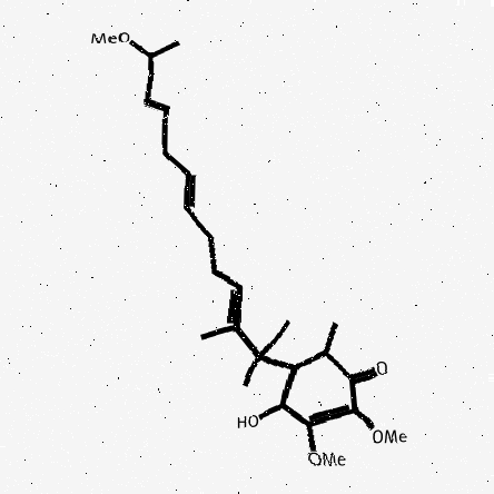 COC1=C(OC)C(O)C(C(C)(C)C(C)=CCCC=CCCCC(C)OC)C(C)C1=O